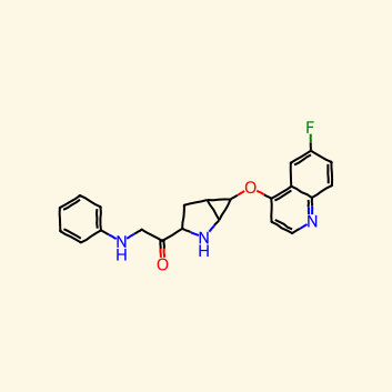 O=C(CNc1ccccc1)C1CC2C(N1)C2Oc1ccnc2ccc(F)cc12